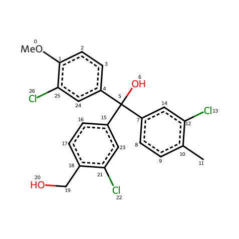 COc1ccc(C(O)(c2ccc(C)c(Cl)c2)c2ccc(CO)c(Cl)c2)cc1Cl